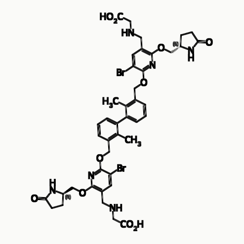 Cc1c(COc2nc(OC[C@H]3CCC(=O)N3)c(CNCC(=O)O)cc2Br)cccc1-c1cccc(COc2nc(OC[C@@H]3CCC(=O)N3)c(CNCC(=O)O)cc2Br)c1C